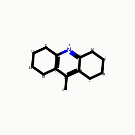 Cc1c2c(nc3c1CCCC3)CCCC2